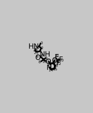 CC1CC(NC(=O)C(C)(C)COc2ncccc2OC(F)(F)F)CCN1